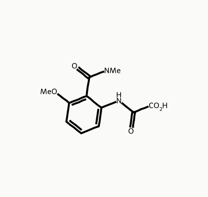 CNC(=O)c1c(NC(=O)C(=O)O)cccc1OC